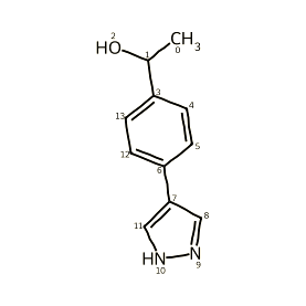 CC(O)c1ccc(-c2cn[nH]c2)cc1